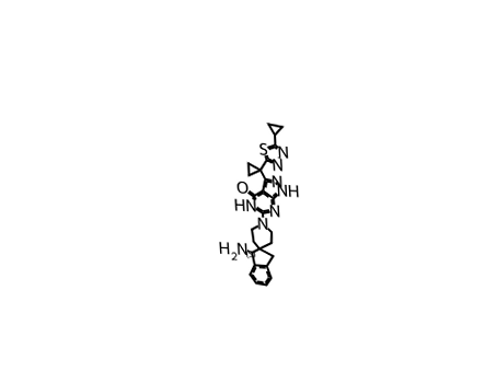 N[C@@H]1c2ccccc2CC12CCN(c1nc3[nH]nc(C4(c5nnc(C6CC6)s5)CC4)c3c(=O)[nH]1)CC2